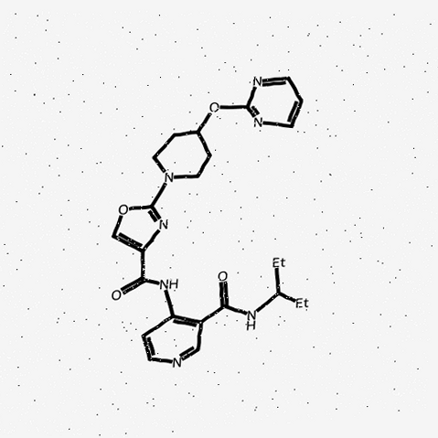 CCC(CC)NC(=O)c1cnccc1NC(=O)c1coc(N2CCC(Oc3ncccn3)CC2)n1